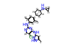 Cc1cc(Nc2nc(Nc3cc(C)c([C@H]4CC[C@H](NC5CC5)CC4)cc3C)ncc2Cl)n[nH]1